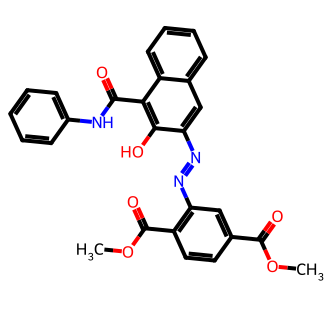 COC(=O)c1ccc(C(=O)OC)c(/N=N/c2cc3ccccc3c(C(=O)Nc3ccccc3)c2O)c1